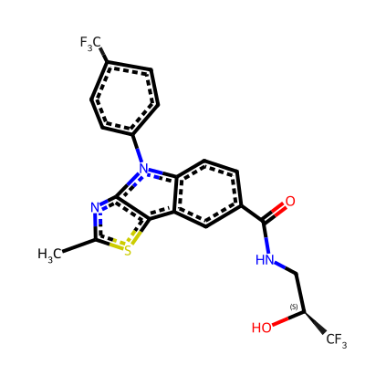 Cc1nc2c(s1)c1cc(C(=O)NC[C@H](O)C(F)(F)F)ccc1n2-c1ccc(C(F)(F)F)cc1